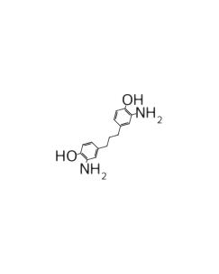 Nc1cc(CCCc2ccc(O)c(N)c2)ccc1O